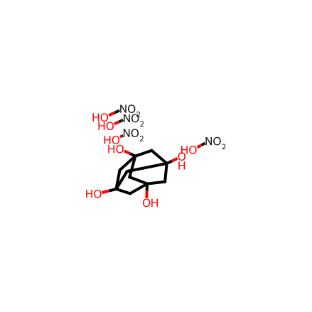 O=[N+]([O-])O.O=[N+]([O-])O.O=[N+]([O-])O.O=[N+]([O-])O.OC12CC3(O)CC(O)(C1)CC(O)(C2)C3